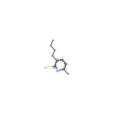 CCCCc1ccc(C)nc1F